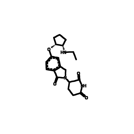 CCN[C@H]1CCC[C@H]1Oc1ccc2c(c1)CN(C1CCC(=O)NC1=O)C2=O